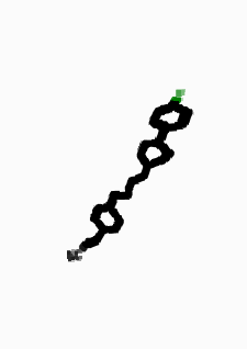 N#CC=CC1CCC(CCCCC2CCC(c3ccc(F)cc3)CC2)CC1